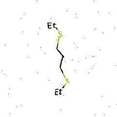 [CH2]CSCCCSC[CH2]